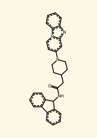 O=C(CC1CCN(c2ccn3c(c2)nc2ccccc23)CC1)NC1c2ccccc2-c2ccccc21